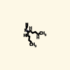 CCCCN/C(=N/C#N)NCCNC